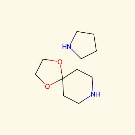 C1CC2(CCN1)OCCO2.C1CCNC1